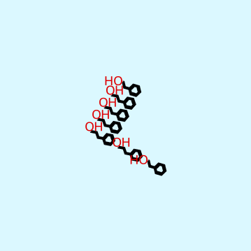 OCCCc1ccccc1.OCCCc1ccccc1.OCCCc1ccccc1.OCCCc1ccccc1.OCCCc1ccccc1.OCCc1ccccc1.OCCc1ccccc1